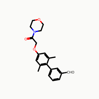 Cc1cc(OCC(=O)N2CCOCC2)cc(C)c1-c1cccc(C=O)c1